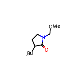 COCN1CCC(C(C)(C)C)C1=O